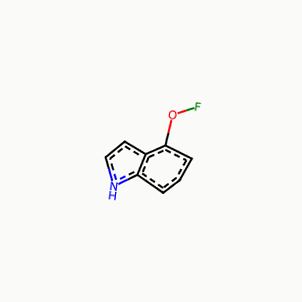 FOc1cccc2[nH]ccc12